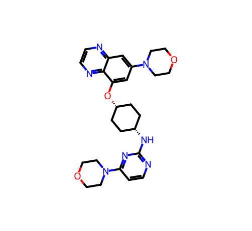 c1cc(N2CCOCC2)nc(N[C@H]2CC[C@@H](Oc3cc(N4CCOCC4)cc4nccnc34)CC2)n1